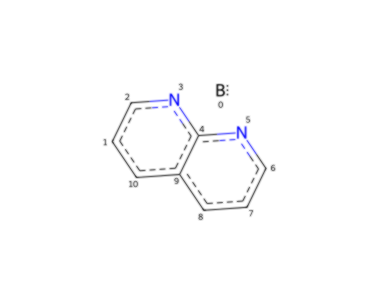 [B].c1cnc2ncccc2c1